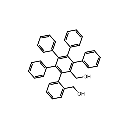 OCc1ccccc1-c1c(CO)c(-c2ccccc2)c(-c2ccccc2)c(-c2ccccc2)c1-c1ccccc1